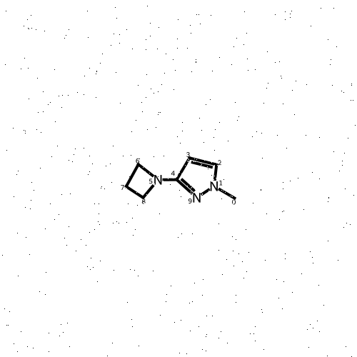 Cn1ccc(N2CCC2)n1